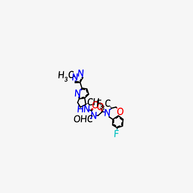 Cn1cc(-c2ccc3c(n2)CC[C@]3(C)NC(=O)N(C=O)CC(=O)N2Cc3cc(F)ccc3OC[C@H]2C(F)(F)F)cn1